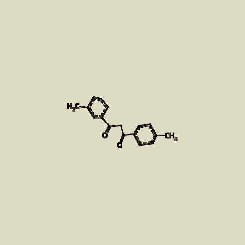 Cc1ccc(C(=O)CC(=O)c2cccc(C)c2)cc1